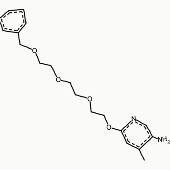 Cc1cc(OCCOCCOCCOCc2ccccc2)ncc1N